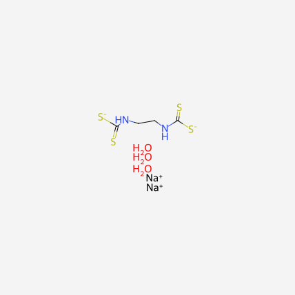 O.O.O.S=C([S-])NCCNC(=S)[S-].[Na+].[Na+]